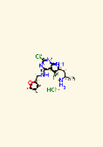 CC(C)C(N)Cc1[nH]c2nc(Cl)nc(NCc3ccco3)c2c1F.Cl